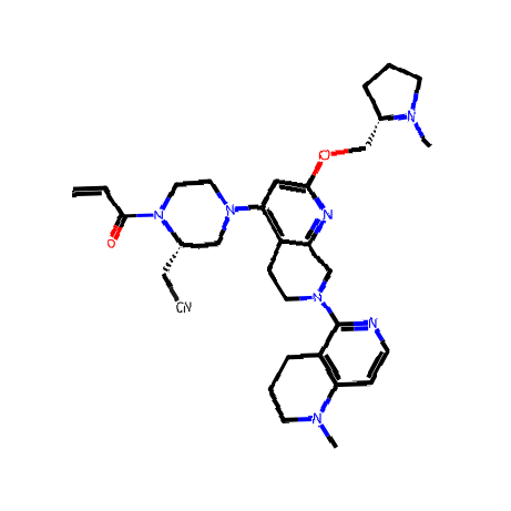 C=CC(=O)N1CCN(c2cc(OC[C@@H]3CCCN3C)nc3c2CCN(c2nccc4c2CCCN4C)C3)C[C@@H]1CC#N